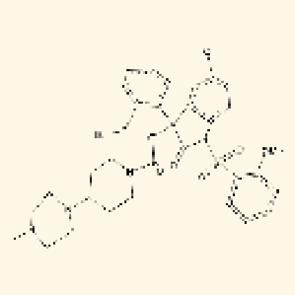 CCOc1ccccc1C1(OC(=O)N2CCC(N3CCN(C)CC3)CC2)C(=O)N(S(=O)(=O)c2ccccc2OC)c2ccc(Cl)cc21